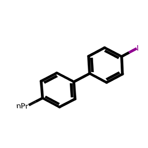 CCCc1ccc(-c2ccc(I)cc2)cc1